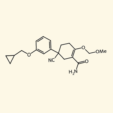 COCOC1=C(C(N)=O)CC(C#N)(c2cccc(OCC3CC3)c2)CC1